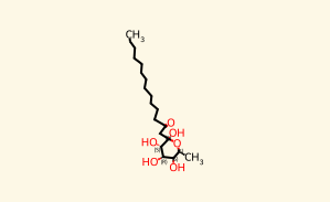 CCCCCCCCCCCCC(=O)C[C@]1(O)O[C@@H](C)[C@@H](O)[C@@H](O)[C@@H]1O